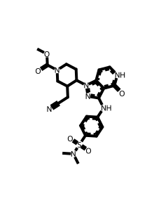 COC(=O)N1CCC(n2nc(Nc3ccc(S(=O)(=O)N(C)C)cc3)c3c(=O)[nH]ccc32)C(CC#N)C1